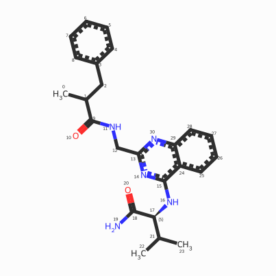 CC(Cc1ccccc1)C(=O)NCc1nc(N[C@H](C(N)=O)C(C)C)c2ccccc2n1